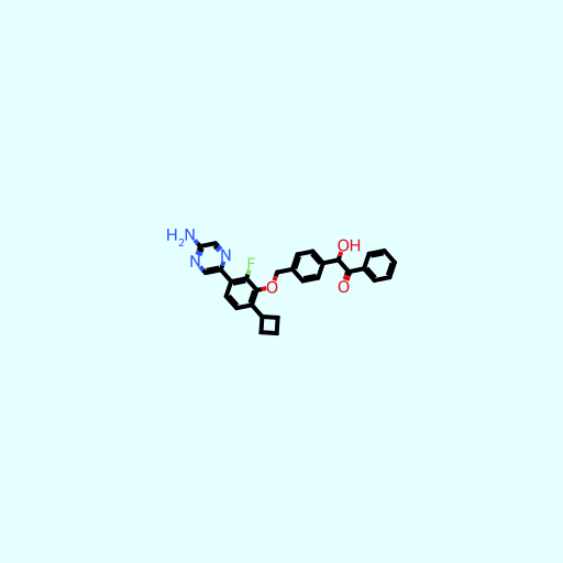 Nc1cnc(-c2ccc(C3CCC3)c(OCc3ccc(C(O)C(=O)c4ccccc4)cc3)c2F)cn1